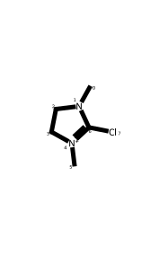 CN1CC[N+](C)=C1Cl